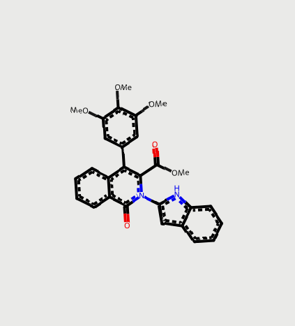 COC(=O)c1c(-c2cc(OC)c(OC)c(OC)c2)c2ccccc2c(=O)n1-c1cc2ccccc2[nH]1